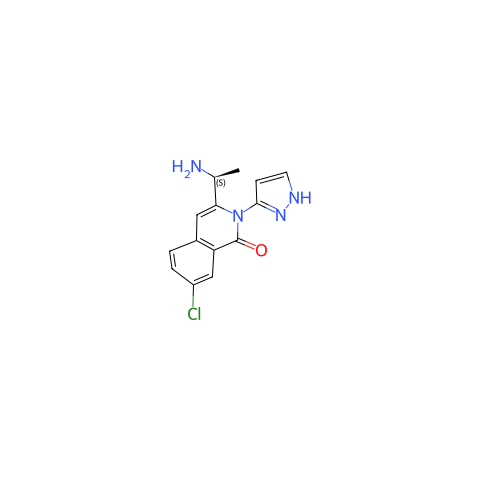 C[C@H](N)c1cc2ccc(Cl)cc2c(=O)n1-c1cc[nH]n1